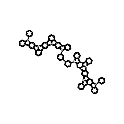 c1ccc(-n2c3ccccc3c3cc4c5cccc6c7cc8c(cc7n(c4cc32)c65)c2cccc3c4cc5c6ccccc6n(-c6cccc(-c7cccc(-n9c%10ccccc%10c%10c%11c%12ccccc%12n%12c%13cc%14c%15cc%16c(c%17ccccc%17n%16-c%16ccccc%16)c%16c%17ccccc%17n(c%14cc%13c(cc%109)c%11%12)c%15%16)c7)c6)c5cc4n8c23)cc1